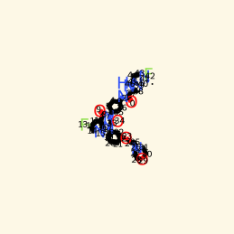 O=C(NC1CCC(n2c(=O)c3cc(F)cnc3n(-c3cccc(OCCN4CCOCC4)c3)c2=O)CC1)C1=C[N+]2CN(F)C=CC2=N1